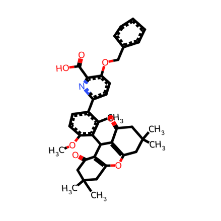 COc1ccc(-c2ccc(OCc3ccccc3)c(C(=O)O)n2)c(C)c1C1C2=C(CC(C)(C)CC2=O)OC2=C1C(=O)CC(C)(C)C2